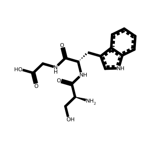 N[C@@H](CO)C(=O)N[C@@H](Cc1c[nH]c2ccccc12)C(=O)NCC(=O)O